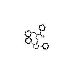 CCC[C@H](c1ccccc1)P(CCP1[C@@H](c2ccccc2)CC[C@@H]1c1ccccc1)Cc1ccccc1